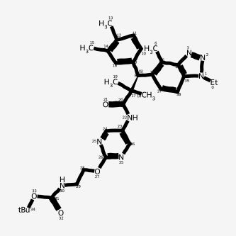 CCn1nnc2c(C)c([C@H](c3ccc(C)c(C)c3)C(C)(C)C(=O)Nc3cnc(OCCNC(=O)OC(C)(C)C)nc3)ccc21